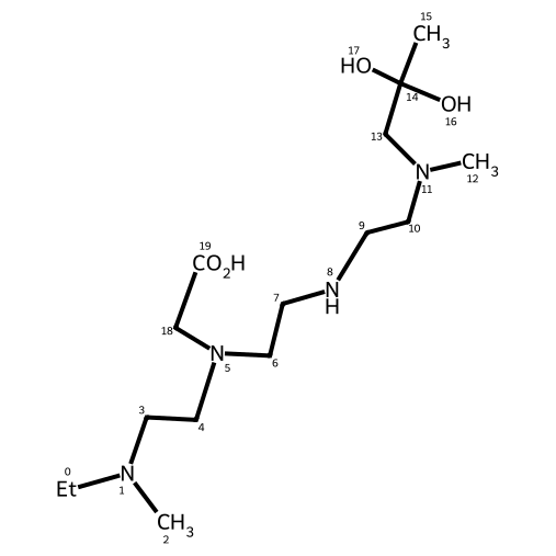 CCN(C)CCN(CCNCCN(C)CC(C)(O)O)CC(=O)O